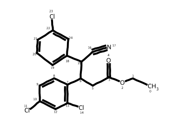 CCOC(=O)CC(c1ccc(Cl)cc1Cl)C(C#N)c1cccc(Cl)c1